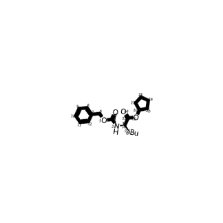 CC[C@H](C)[C@H](NC(=O)OCc1ccccc1)C(=O)OC1CCCC1